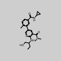 CCC(CO)Nc1ncc(-c2cc(C(=O)NC3CC3)ccc2C)cc1C(=O)N(C)C